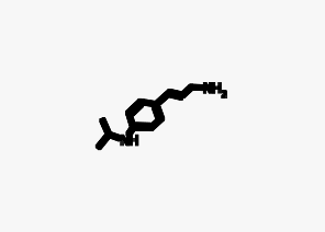 CC(C)Nc1ccc(/C=C/CN)cc1